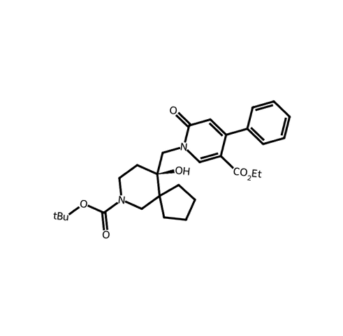 CCOC(=O)c1cn(C[C@@]2(O)CCN(C(=O)OC(C)(C)C)CC23CCCC3)c(=O)cc1-c1ccccc1